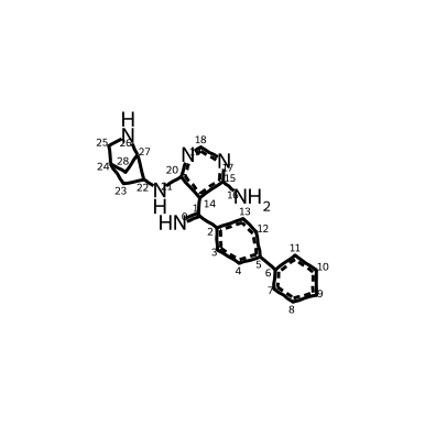 N=C(c1ccc(-c2ccccc2)cc1)c1c(N)ncnc1NC1CC2CNC1C2